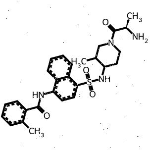 Cc1ccccc1C(=O)Nc1ccc(S(=O)(=O)NC2CCN(C(=O)[C@@H](C)N)CC2C)c2ccccc12